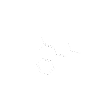 CN(C)C=C(C=[N+](C)C)c1ccncc1